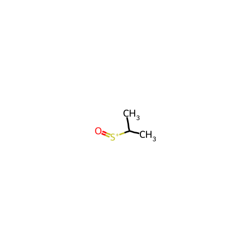 CC(C)[S+]=O